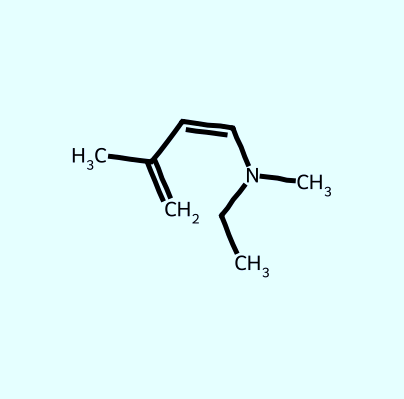 C=C(C)/C=C\N(C)CC